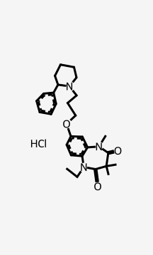 CCN1C(=O)C(C)(C)C(=O)N(C)c2cc(OCCCN3CCCCC3c3ccccc3)ccc21.Cl